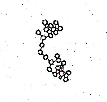 c1ccc(-c2nc(-c3ccc(-c4cccc(-c5ccc(-c6cc(-c7cccc(-c8cccc9c8-c8ccc%10c(sc%11ccccc%11%10)c8C98c9ccccc9C9(c%10ccccc%10-c%10ccccc%109)c9ccccc98)c7)nc(-c7cccc8ccccc78)n6)cc5)c4)cc3)cc(-c3cccc4c3-c3ccc5c(sc6ccccc65)c3C43c4ccccc4C4(c5ccccc5-c5ccccc54)c4ccccc43)n2)cc1